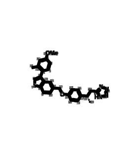 COc1ccc(-c2csc3ccc(COc4ccc([C@@H](C)Cc5nnn[nH]5)cc4)cc23)c(C)c1